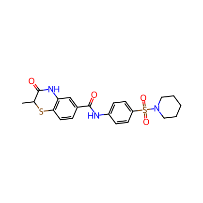 CC1Sc2ccc(C(=O)Nc3ccc(S(=O)(=O)N4CCCCC4)cc3)cc2NC1=O